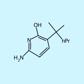 CCCC(C)(C)c1ccc(N)nc1O